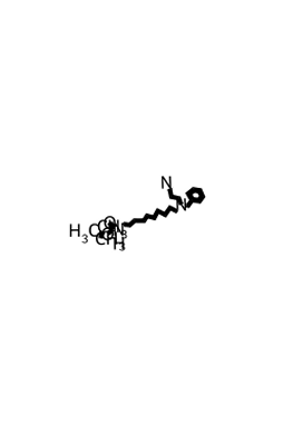 CC(C)(C)OC(=O)NCCCCCCCCCCN(CCC#N)Cc1ccccc1